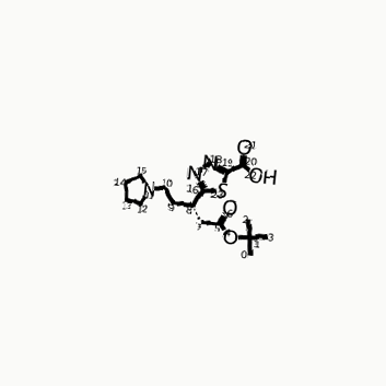 CC(C)(C)OC(=O)C[C@H](CCN1CCCC1)c1nnc(C(=O)O)s1